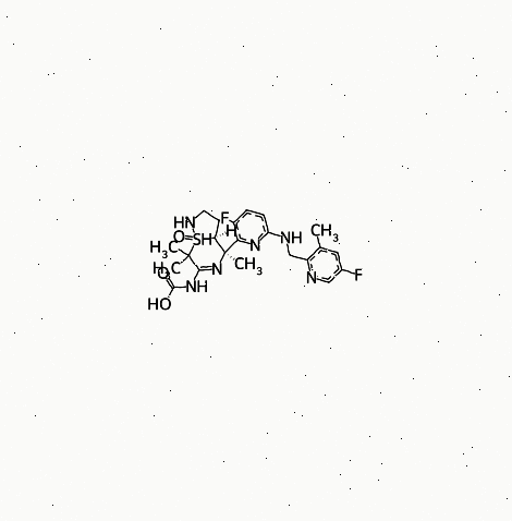 Cc1cc(F)cnc1CNc1ccc(F)c([C@@]2(C)N=C(NC(=O)O)C(C)(C)[SH]3(=O)NCC[C@@H]23)n1